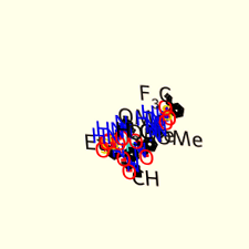 C#CCN1C(=O)COc2cc(F)c(N3C(=O)C4=C(CCCC4)C3=O)cc21.CCS(=O)(=O)c1cccnc1S(=O)(=O)NC(=O)Nc1nc(OC)cc(OC)n1.COc1nc(C)nc(NC(=O)NS(=O)(=O)c2ccccc2CCC(F)(F)F)n1